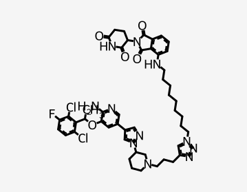 CC(Oc1cc(-c2cnn(C3CCCN(CCCc4cn(CCCCCCCCCNc5cccc6c5C(=O)N(C5CCC(=O)NC5=O)C6=O)nn4)C3)c2)cnc1N)c1c(Cl)ccc(F)c1Cl